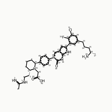 CC(=N)NCC[C@@H]1CCC[C@@H](c2ccc(-n3cc4cc(-c5cc(CCC[C@H](C)N)cc(Cl)c5F)[nH]c4nc3=O)cc2)N1CC(=O)O